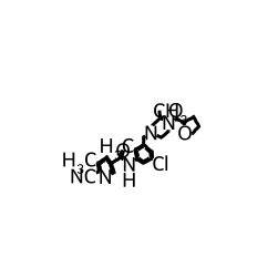 Cc1cc(C(=O)Nc2cc(Cl)cc(CN3CCN(C(=O)C4CCCO4)C(C)C3)c2C)cnc1C#N